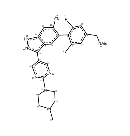 CNCc1cc(C)c(-c2cc3c(-c4cnc(N5CCN(C)CC5)nc4)n[nH]c3cc2C#N)c(F)c1